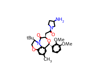 COc1cccc([C@H]2O[C@H](CC(=O)N3CCC(N)C3)C(=O)N3c4c(cc(C)cc42)OC[C@H]3C(C)(C)C)c1OC